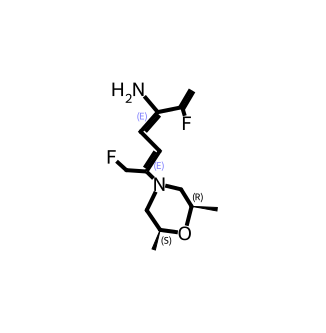 C=C(F)/C(N)=C\C=C(/CF)N1C[C@@H](C)O[C@@H](C)C1